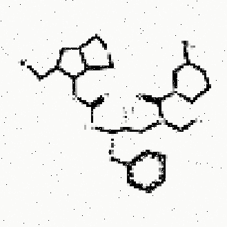 CC(C)CN(C[C@@H](O)[C@H](Cc1ccccc1)NC(=O)OC1C(CO)CC2COCC21)C(=O)N1CCCC(N)C1